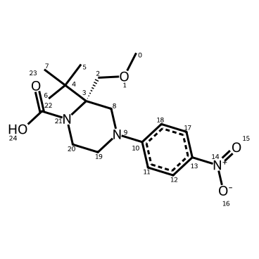 COC[C@]1(C(C)(C)C)CN(c2ccc([N+](=O)[O-])cc2)CCN1C(=O)O